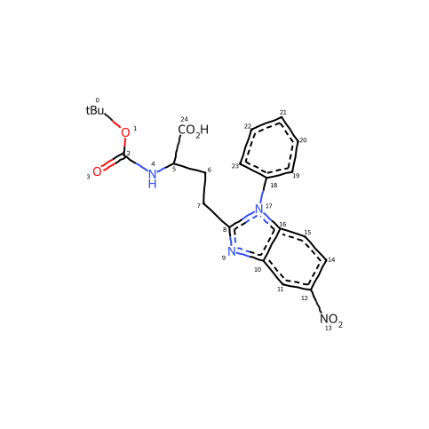 CC(C)(C)OC(=O)NC(CCc1nc2cc([N+](=O)[O-])ccc2n1-c1ccccc1)C(=O)O